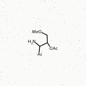 COCC(OC(C)=O)C(N)C(C)=O